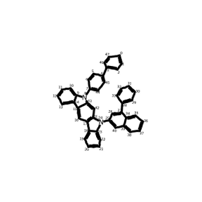 c1ccc(-c2ccc(-n3c4ccccc4c4cc5c6ccccc6n(-c6cc(-c7ccccc7)c7ccccc7c6)c5cc43)cc2)cc1